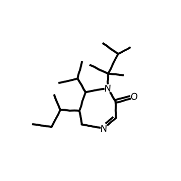 CCC(C)C1CN=CC(=O)N(C(C)(C)C(C)C)C1C(C)C